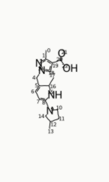 Cc1nn(CC2=CC=C(N3CCC(C)C3)NC2C)cc1C(=O)O